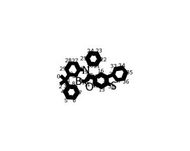 CC1(C)c2ccccc2B2c3oc4cc5c(cc4c3N(c3ccccc3)C3=CC=CC1C23)C1C=CC=CC1S5